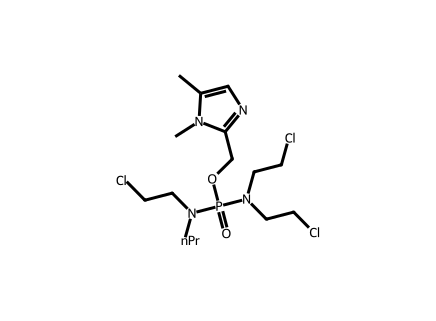 CCCN(CCCl)P(=O)(OCc1ncc(C)n1C)N(CCCl)CCCl